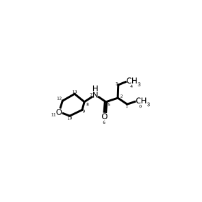 CCC(CC)C(=O)NC1CCOCC1